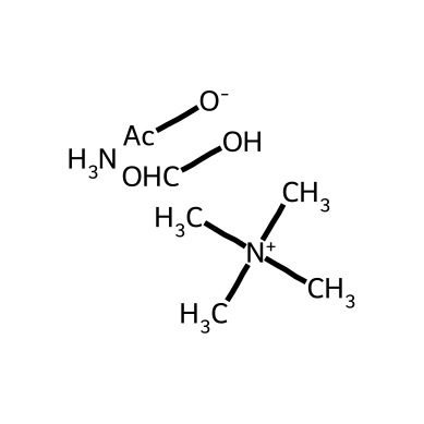 CC(=O)[O-].C[N+](C)(C)C.N.O=CO